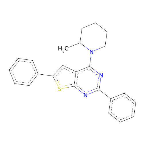 CC1CCCCN1c1nc(-c2ccccc2)nc2sc(-c3ccccc3)cc12